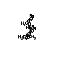 C=CC(=O)N1CCN(c2ccc3ncnc(Nc4ccc(Oc5ccc6scnc6c5)c(C)c4)c3n2)CC1(C)C